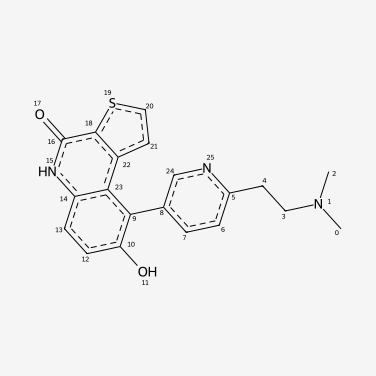 CN(C)CCc1ccc(-c2c(O)ccc3[nH]c(=O)c4sccc4c23)cn1